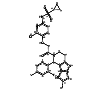 Cc1cnc(C2c3c(nc4sc(C)nn34)CCN2C(=O)COc2ccc(NS(=O)(=O)C3CC3)nc2Cl)c(F)c1